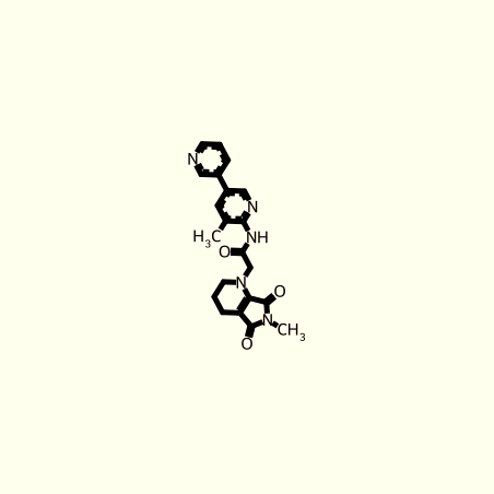 Cc1cc(-c2cccnc2)cnc1NC(=O)CN1CCCC2=C1C(=O)N(C)C2=O